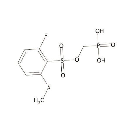 CSc1cccc(F)c1S(=O)(=O)OCP(=O)(O)O